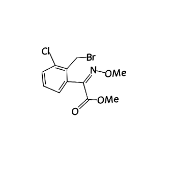 CON=C(C(=O)OC)c1cccc(Cl)c1CBr